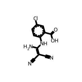 N#CC(C#N)=C(N)Nc1ccc(Cl)cc1C(=O)O